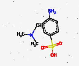 CN(C)C.Nc1ccc(S(=O)(=O)O)cc1